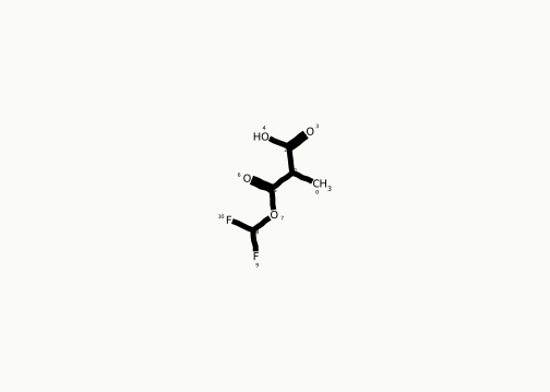 CC(C(=O)O)C(=O)OC(F)F